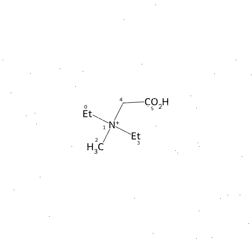 CC[N+](C)(CC)CC(=O)O